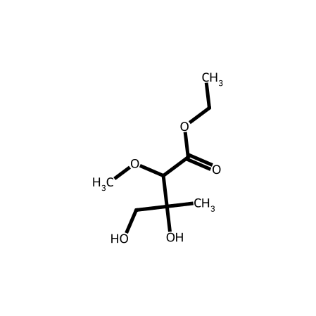 CCOC(=O)C(OC)C(C)(O)CO